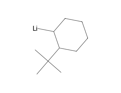 [Li][CH]1CCCCC1C(C)(C)C